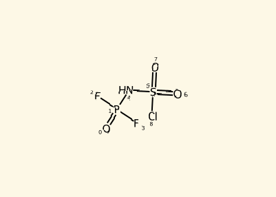 O=P(F)(F)NS(=O)(=O)Cl